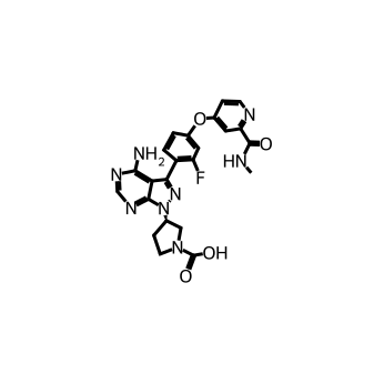 CNC(=O)c1cc(Oc2ccc(-c3nn([C@@H]4CCN(C(=O)O)C4)c4ncnc(N)c34)c(F)c2)ccn1